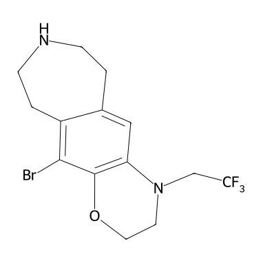 FC(F)(F)CN1CCOc2c1cc1c(c2Br)CCNCC1